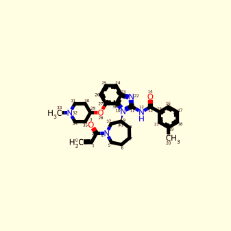 C=CC(=O)N1CCCC[C@@H](n2c(NC(=O)c3cccc(C)c3)nc3cccc(OC4CCN(C)CC4)c32)C1